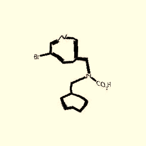 O=C(O)N(Cc1cncc(Br)c1)CC1CCCC1